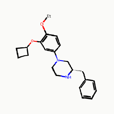 CCOc1ccc(N2CCN[C@@H](Cc3ccccc3)C2)cc1OC1CCC1